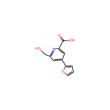 O=C(O)c1cc(-c2ccco2)cc(CO)n1